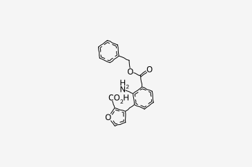 Nc1c(C(=O)OCc2ccccc2)cccc1-c1ccoc1C(=O)O